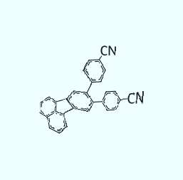 N#Cc1ccc(-c2cc3c(cc2-c2ccc(C#N)cc2)-c2cccc4cccc-3c24)cc1